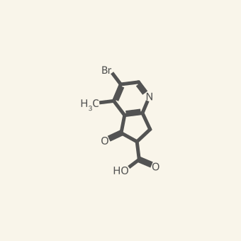 Cc1c(Br)cnc2c1C(=O)C(C(=O)O)C2